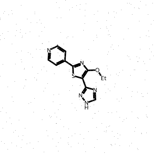 CCOc1nc(-c2c[c]ncc2)sc1-c1nc[nH]n1